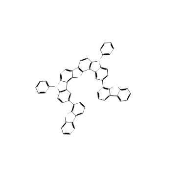 c1ccc(-n2c3ccc(-c4cccc5c4oc4ccccc45)cc3c3c4oc5c(ccc6c5c5cc(-c7cccc8c7oc7ccccc78)ccc5n6-c5ccccc5)c4ccc32)cc1